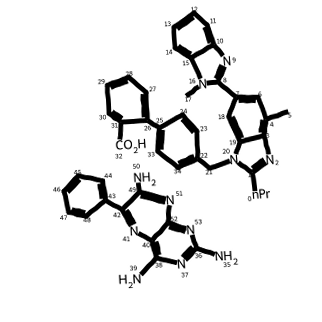 CCCc1nc2c(C)cc(-c3nc4ccccc4n3C)cc2n1Cc1ccc(-c2ccccc2C(=O)O)cc1.Nc1nc(N)c2nc(-c3ccccc3)c(N)nc2n1